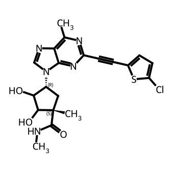 CNC(=O)[C@@]1(C)C[C@@H](n2cnc3c(C)nc(C#Cc4ccc(Cl)s4)nc32)C(O)C1O